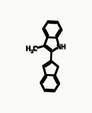 Cc1c(C2=Cc3ccccc3C2)[nH]c2ccccc12